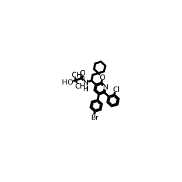 CC(C)(O)C(=O)NC1CC2(CCCCC2)Oc2nc(-c3ccccc3Cl)c(-c3ccc(Br)cc3)cc21